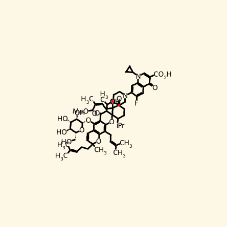 COC(=O)/C(C)=C\CC1(O)C(=O)CCC(C(C)C)C12Oc1c(CC=C(C)C)c3c(c(O[C@@H]4O[C@H](CO)[C@@H](O)[C@H](O)[C@H]4O)c1C(=O)C2C(C)N1CCN(c2cc4c(cc2F)c(=O)c(C(=O)O)cn4C2CC2)CC1)C=CC(C)(CCC=C(C)C)O3